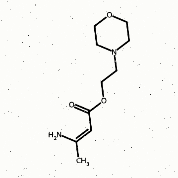 C/C(N)=C/C(=O)OCCN1CCOCC1